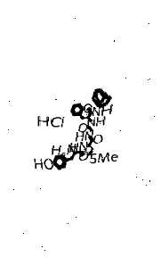 CSCC[C@@H](NC(=O)[C@@H](N)Cc1ccc(O)cc1)C(=O)NCC(=O)N[C@@H](Cc1ccccc1)C(=O)NC1C2CC3CC(C2)CC1C3.Cl